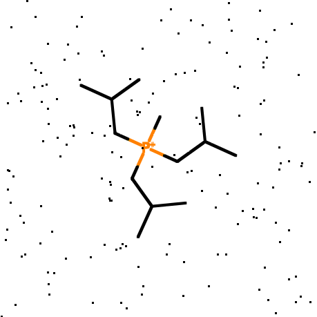 CC(C)C[P+](C)(CC(C)C)CC(C)C